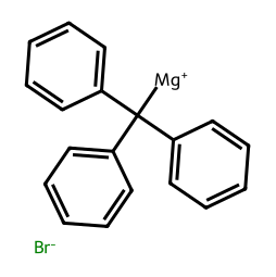 [Br-].[Mg+][C](c1ccccc1)(c1ccccc1)c1ccccc1